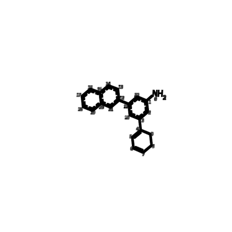 Nc1cc(C2=CC=CCC2)cc(-c2ccc3ccccc3c2)c1